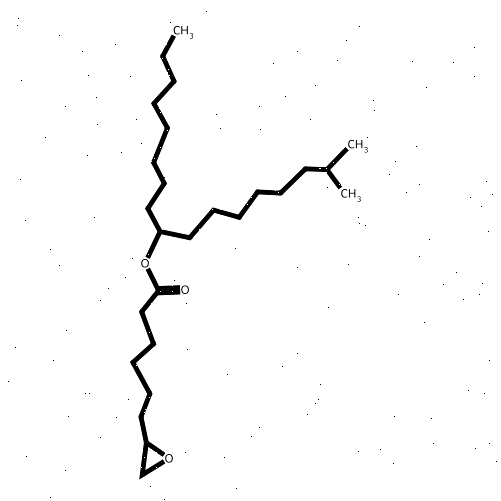 CCCCCCCCC(CCCCCCC(C)C)OC(=O)CCCCCC1CO1